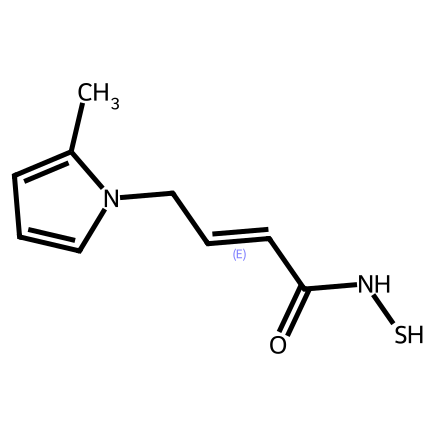 Cc1cccn1C/C=C/C(=O)NS